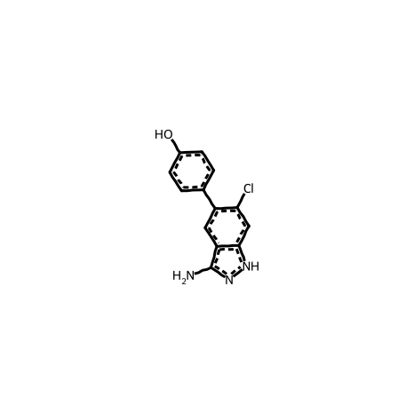 Nc1n[nH]c2cc(Cl)c(-c3ccc(O)cc3)cc12